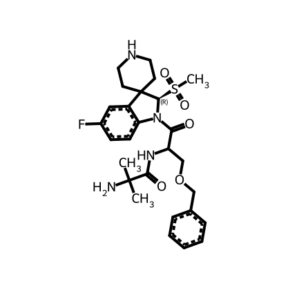 CC(C)(N)C(=O)NC(COCc1ccccc1)C(=O)N1c2ccc(F)cc2C2(CCNCC2)[C@H]1S(C)(=O)=O